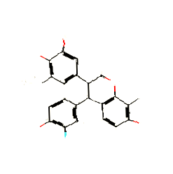 CCc1c(O)ccc2c1OCC(c1cc(O)c(O)c(OC)c1)C2c1ccc(O)c(F)c1